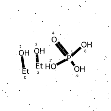 CCO.CCO.O=P(O)(O)O